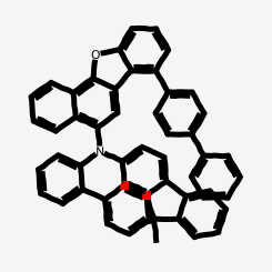 CC1(C)c2ccccc2-c2ccc(N(c3ccccc3-c3ccccc3)c3cc4c(oc5cccc(-c6ccc(-c7ccccc7)cc6)c54)c4ccccc34)cc21